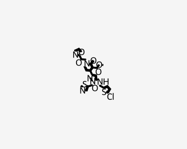 COC(=O)c1c(-c2cc(NCc3ccc(Cl)s3)n(C(=O)c3cncs3)n2)ccn(CC(=O)c2ncco2)c1=O